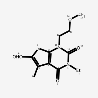 CCn1c(=O)c2c(C)c(C=O)sc2n(CCOC(F)(F)F)c1=O